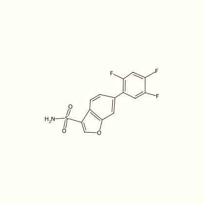 NS(=O)(=O)c1coc2cc(-c3cc(F)c(F)cc3F)ccc12